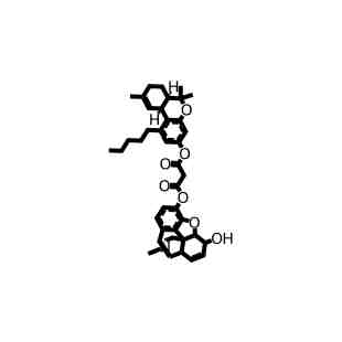 CCCCCc1cc(OC(=O)CC(=O)Oc2ccc3c4c2OC2C(O)C=CC5C(C3)N(C)CCC452)cc2c1[C@@H]1C=C(C)CC[C@H]1C(C)(C)O2